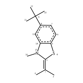 CC(C)=C1Sc2ccc(C(C)(C)C)cc2N1C